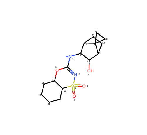 O=S1(=O)N=C(NC2C(O)C3CCC2C32CC2)OC2CCCCC21